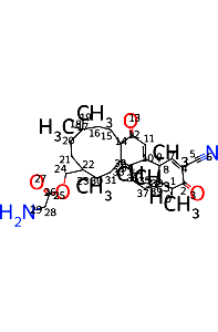 C[C@@H]1C(=O)C(C#N)=C[C@]2(C)C3=CC(=O)C4CCC(C)(C)CC[C@](C)(COC(=O)CN)CC[C@@]4(C)[C@]3(C)CC[C@@H]12